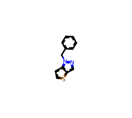 c1ccc(Cn2ncc3sccc32)cc1